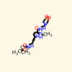 CCNc1nc(C#CCCNC(=O)OC(C)(C)C)ccc1C(=O)NCCN1CCS(=O)(=O)CC1